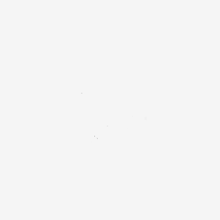 CC(C)(N)C(C(S(=O)(=O)O)S(=O)(=O)O)S(=O)(=O)O.O